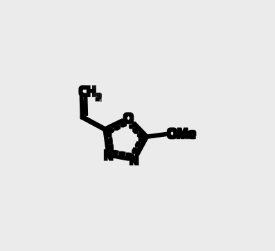 C=Cc1nnc(OC)o1